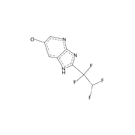 FC(F)C(F)(F)c1nc2ncc(Cl)cc2[nH]1